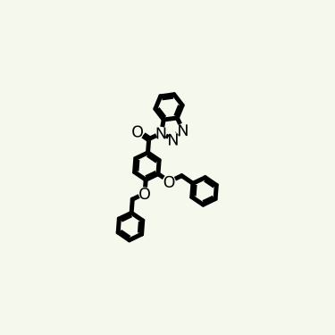 O=C(c1ccc(OCc2ccccc2)c(OCc2ccccc2)c1)n1nnc2ccccc21